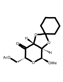 CO[C@H]1O[C@H](COC(C)=O)C(=O)[C@@H]2OC3(CCCCC3)O[C@@H]12